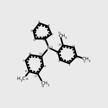 Cc1ccc(N(c2cc[c]cc2)c2ccc(C)c(C)c2)c(C)c1